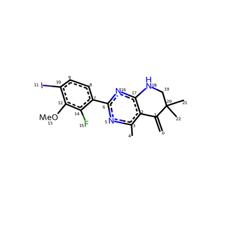 C=C1c2c(C)nc(-c3ccc(I)c(OC)c3F)nc2NCC1(C)C